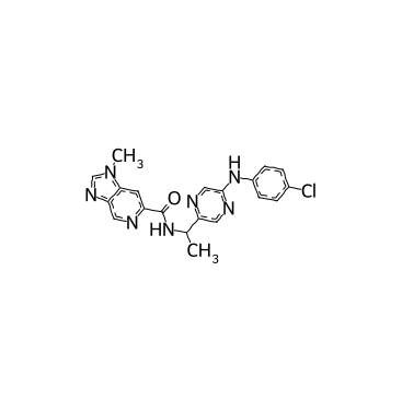 CC(NC(=O)c1cc2c(cn1)ncn2C)c1cnc(Nc2ccc(Cl)cc2)cn1